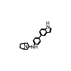 CN1C2CCC1CC(Nc1ccc(-c3ccc4[nH]ccc4c3)cc1)C2